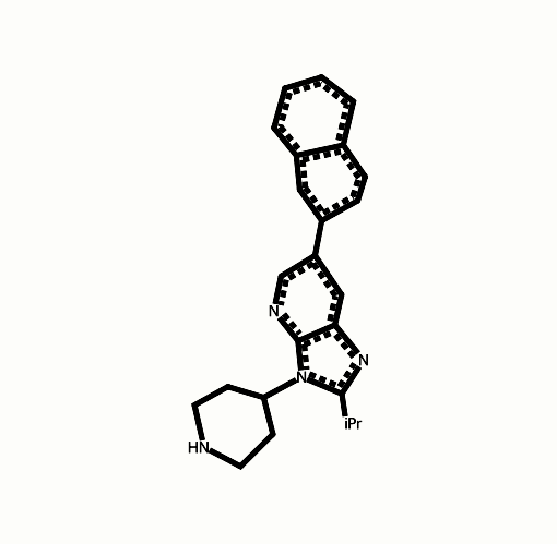 CC(C)c1nc2cc(-c3ccc4ccccc4c3)cnc2n1C1CCNCC1